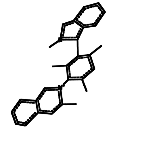 Cc1cc(C)c(-[n+]2cc3ccccc3cc2C)c(C)c1-c1c2ccccc2cn1C